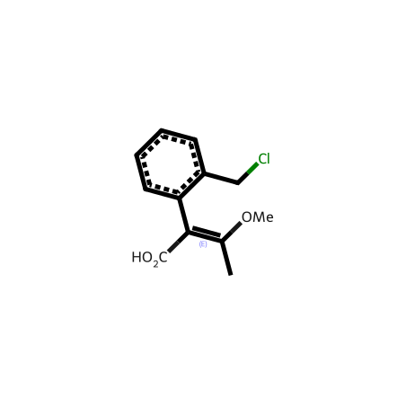 CO/C(C)=C(/C(=O)O)c1ccccc1CCl